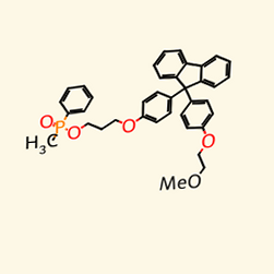 COCCOc1ccc(C2(c3ccc(OCCCOP(C)(=O)c4ccccc4)cc3)c3ccccc3-c3ccccc32)cc1